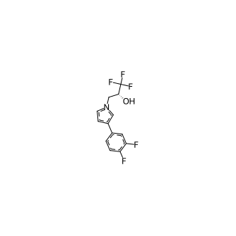 O[C@H](Cn1ccc(-c2ccc(F)c(F)c2)c1)C(F)(F)F